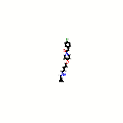 O=C(Cc1ccc(F)cc1)N1CCC(OCCCCCNCC2CC2)CC1